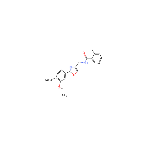 COc1ccc(-c2nc(CNC(=O)c3ccccc3C)co2)cc1OCC(F)(F)F